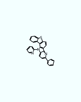 c1ccc(-c2ccc3c(n2)c2ccc4sc5ccccc5c4c2n3-c2ccccn2)cc1